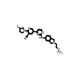 COCCN1Cc2ccc(Nc3nccc(-c4cnc(N5CCC(F)C5)c(C#N)c4)n3)cc2C1